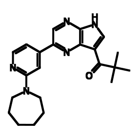 CC(C)(C)C(=O)c1c[nH]c2ncc(-c3ccnc(N4CCCCCC4)c3)nc12